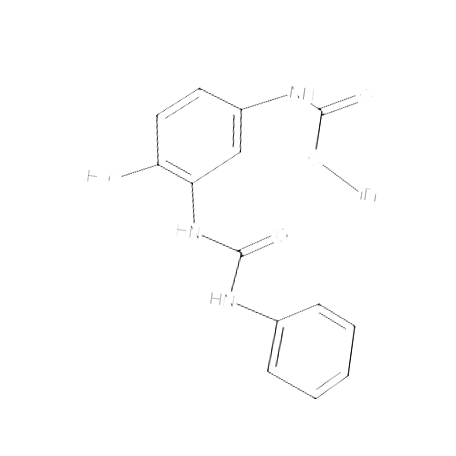 Cc1ccc(NC(=O)OC(C)C)cc1NC(=O)Nc1ccccc1